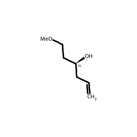 C=CC[C@H](O)CCOC